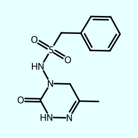 CC1=NNC(=O)N(NS(=O)(=O)Cc2ccccc2)C1